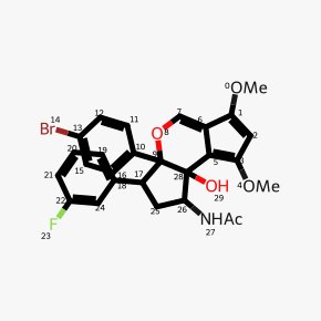 COC1=CC(OC)=C2C1=COC1(c3ccc(Br)cc3)C(c3cccc(F)c3)CC(NC(C)=O)C21O